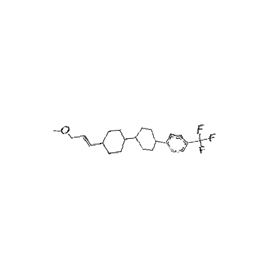 COC/C=C/C1CCC(C2CCC(c3ccc(C(F)(F)F)cc3)CC2)CC1